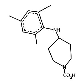 Cc1cc(C)c(NC2CCN(C(=O)O)CC2)c(C)c1